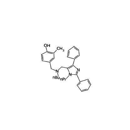 CCCCN(Cc1ccc(O)c(C)c1)Cc1c(-c2ccccc2)nc(-c2ccccc2)n1CCC